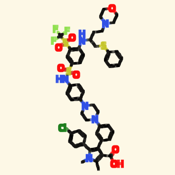 Cc1c(C(=O)O)c(-c2cccc(N3CCN(c4ccc(NS(=O)(=O)c5ccc(NC(CCN6CCOCC6)CSc6ccccc6)c(S(=O)(=O)C(F)(F)F)c5)cc4)CC3)c2)c(-c2ccc(Cl)cc2)n1C